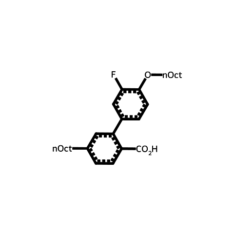 CCCCCCCCOc1ccc(-c2cc(CCCCCCCC)ccc2C(=O)O)cc1F